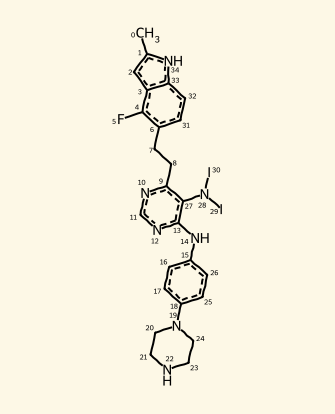 Cc1cc2c(F)c(CCc3ncnc(Nc4ccc(N5CCNCC5)cc4)c3N(I)I)ccc2[nH]1